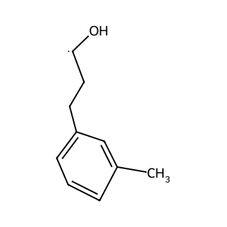 Cc1cccc(CC[CH]O)c1